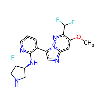 COc1cc2ncc(-c3cccnc3N[C@H]3CNC[C@@H]3F)n2nc1C(F)F